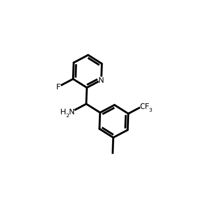 Cc1cc(C(N)c2ncccc2F)cc(C(F)(F)F)c1